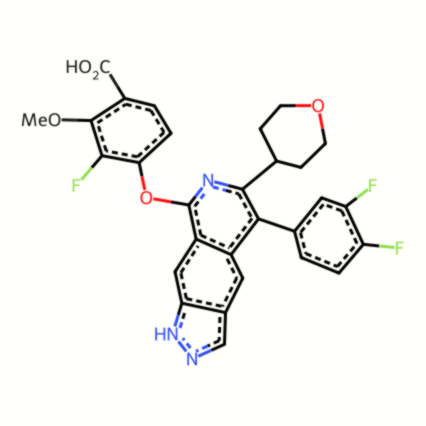 COc1c(C(=O)O)ccc(Oc2nc(C3CCOCC3)c(-c3ccc(F)c(F)c3)c3cc4cn[nH]c4cc23)c1F